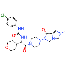 CN1C=C2C(=O)N(N3CCN(C(=O)C(NC(=O)Nc4ccc(Cl)cc4)C4CCOCC4)CC3)CN2C1